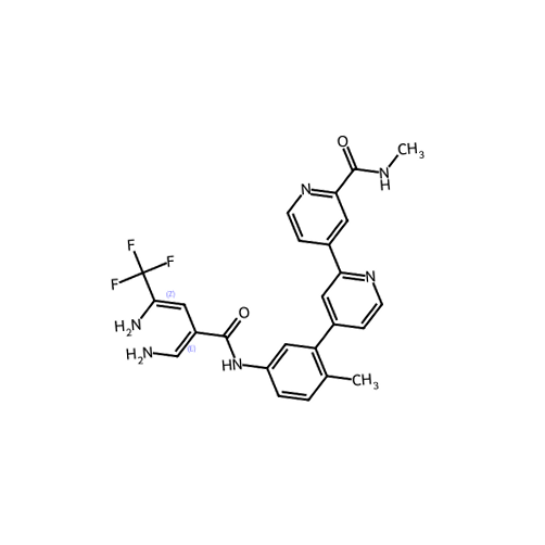 CNC(=O)c1cc(-c2cc(-c3cc(NC(=O)C(/C=C(\N)C(F)(F)F)=C/N)ccc3C)ccn2)ccn1